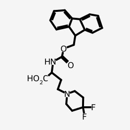 O=C(NC(CCN1CCC(F)(F)CC1)C(=O)O)OCC1c2ccccc2-c2ccccc21